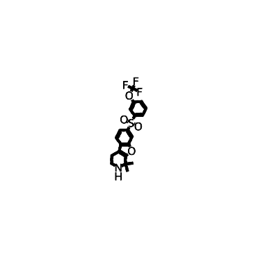 CC1(C)NCCc2c1oc1cc(S(=O)(=O)c3cccc(OC(F)(F)F)c3)ccc21